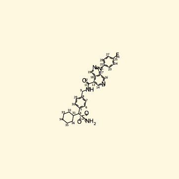 NS(=O)(=O)C(c1ccc(CNC(=O)c2cncc3c2cnn3-c2ccc(F)cc2)cc1)C1CCCCC1